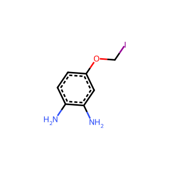 Nc1ccc(OCI)cc1N